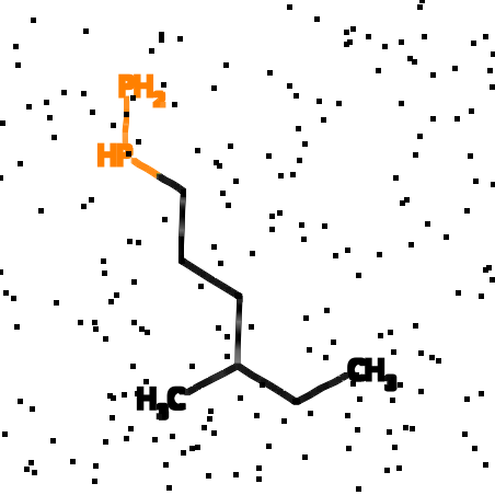 CCC(C)CCCPP